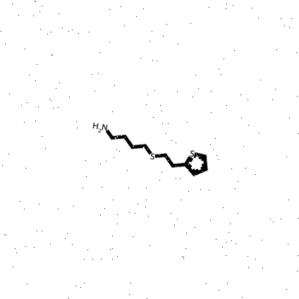 NCCCCSCCc1cccs1